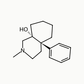 CN1CC[C@@]2(c3ccccc3)CCCC[C@]2(O)C1